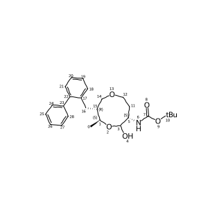 C[C@@H]1OC(O)[C@@H](NC(=O)OC(C)(C)C)CCOC[C@H]1Cc1ccccc1-c1ccccc1